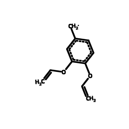 [CH2]c1ccc(OC=C)c(OC=C)c1